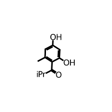 Cc1cc(O)cc(O)c1C(=O)C(C)C